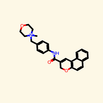 C[N+]1(Cc2ccc(NC(=O)C3=Cc4c(ccc5ccccc45)OC3)cc2)CCOCC1